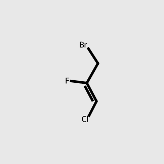 FC(=CCl)CBr